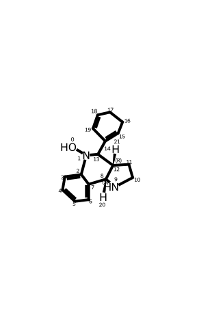 ON1c2ccccc2[C@H]2NCC[C@H]2C1C1=CCCC=C1